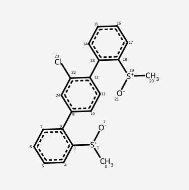 C[S+]([O-])c1ccccc1-c1ccc(-c2ccccc2[S+](C)[O-])c(Cl)c1